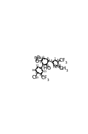 CCCCOc1ccc(-c2cc(C(F)(F)F)n(C)n2)c(O)c1-c1ccc(Cl)c(C(F)(F)F)c1